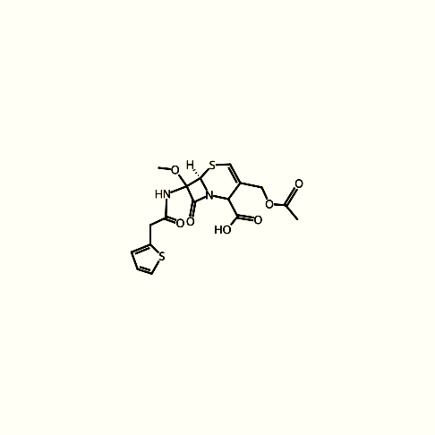 COC1(NC(=O)Cc2cccs2)C(=O)N2C(C(=O)O)C(COC(C)=O)=CS[C@@H]21